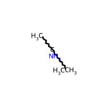 CCCCCCCCCCCCCCCCCC[C](C)C.N